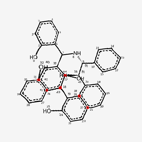 Oc1ccccc1C(N[C@H](c1ccccc1)[C@H](NC(c1ccccc1O)c1ccccc1O)c1ccccc1)c1ccccc1O